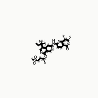 CCC(C)(N)c1cnc(O[C@@H](C)CCS(C)(=O)=O)c2cnc(Nc3ccc4c(n3)[C@@H](C)[C@H](C)OC4=O)cc12